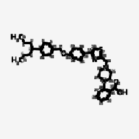 CCCC(CCC)c1ccc(COc2ccc(-c3csc(CN4CCN(c5ccccc5C(=O)O)CC4)n3)cc2)cc1